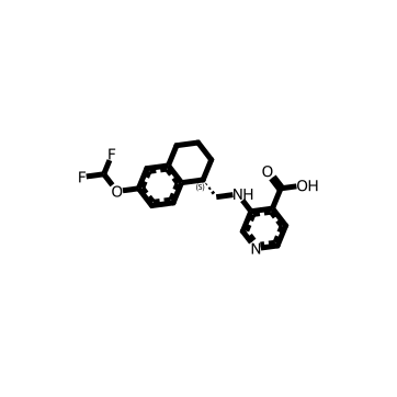 O=C(O)c1ccncc1NC[C@H]1CCCc2cc(OC(F)F)ccc21